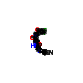 N#Cc1ccc(CN2CCC(NC(=O)c3ccc(C(=O)N4CCC(C(=O)C5C=CC(F)(F)C=C5)CC4)cn3)CC2)cc1